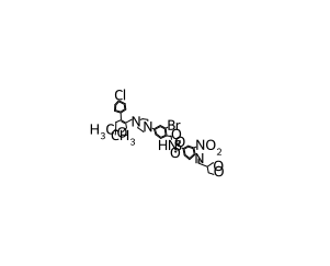 CC1(C)CC(c2ccc(Cl)cc2)=C(CN2CCN(c3ccc(C(=O)NS(=O)(=O)c4ccc(N=CC5CCOOC5)c([N+](=O)[O-])c4)c(Br)c3)CC2)CO1